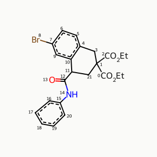 CCOC(=O)C1(C(=O)OCC)Cc2ccc(Br)cc2C(C(=O)Nc2ccccc2)C1